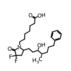 C[C@H](CCCc1ccccc1)[C@H](O)CCC1CC(F)(F)C(=O)N1CCCCCCC(=O)O